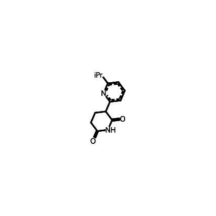 CC(C)c1cccc(C2CCC(=O)NC2=O)n1